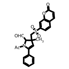 CC(=O)N1C(c2ccccc2)=CC(C)(CS(=O)(=O)c2ccc3ccc(=O)oc3c2)C1C=O